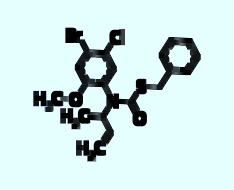 C=CC(=C)N(C(=O)SCc1ccccc1)c1cc(Cl)c(Br)cc1OC